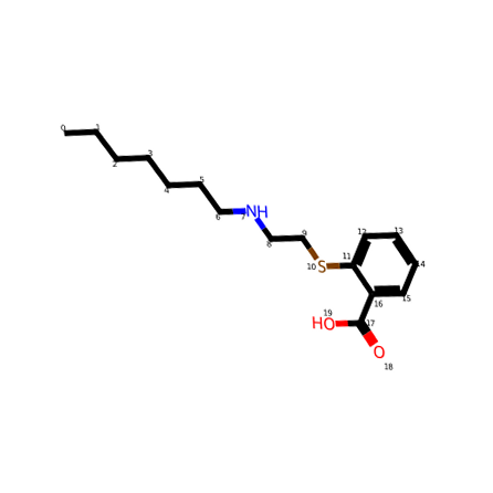 CCCCCCCNCCSc1ccccc1C(=O)O